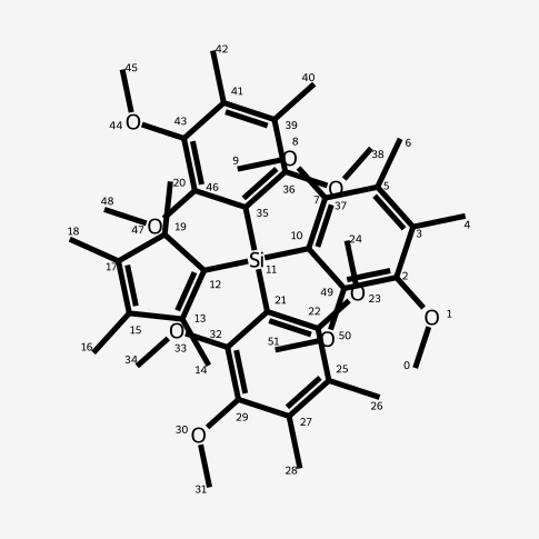 COc1c(C)c(C)c(OC)c([Si](C2=C(C)C(C)=C(C)C2C)(c2c(OC)c(C)c(C)c(OC)c2OC)c2c(OC)c(C)c(C)c(OC)c2OC)c1OC